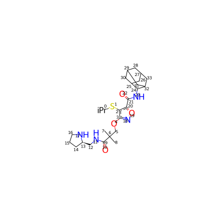 CC(C)Sc1c(OCC(C)(C)C(=O)NC[C@H]2CCCN2)noc1C(=O)NC1C2CC3CC(C2)CC1C3